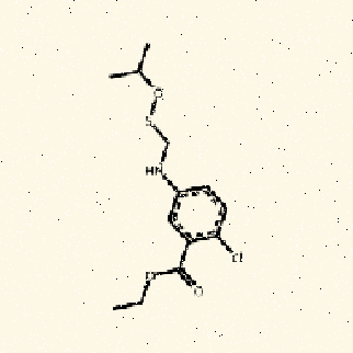 CCOC(=O)c1cc(NCSOC(C)C)ccc1Cl